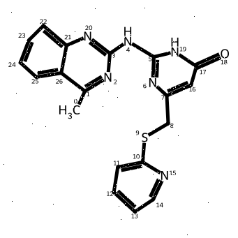 Cc1nc(Nc2nc(CSc3ccccn3)cc(=O)[nH]2)nc2ccccc12